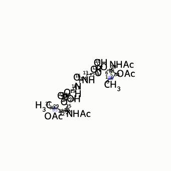 C/C=C/C(OC(C)=O)[C@H](COP(=O)(O)OCCNC(=O)NCCOP(=O)(O)OC[C@H](NC(C)=O)C(/C=C/C)OC(C)=O)NC(C)=O